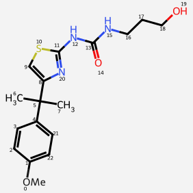 COc1ccc(C(C)(C)c2csc(NC(=O)NCCCO)n2)cc1